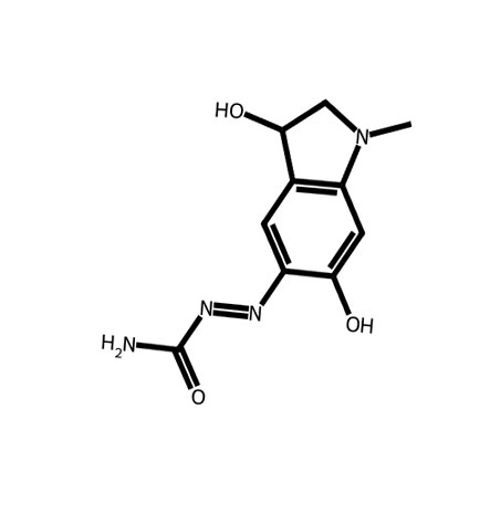 CN1CC(O)c2cc(N=NC(N)=O)c(O)cc21